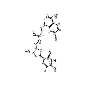 Cc1cn([C@H]2C[C@H](O)[C@@H](COC(=O)OCC(C)c3cc(Br)ccc3[N+](=O)[O-])O2)c(=O)[nH]c1=O